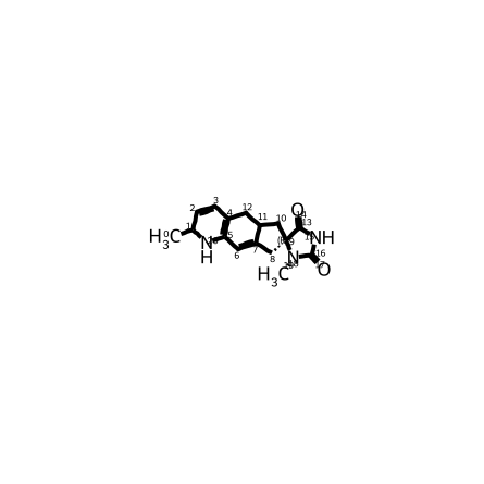 CC1C=CC2=C(C=C3C[C@]4(CC3C2)C(=O)NC(=O)N4C)N1